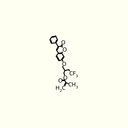 C=C(C)C(=O)OCC(COc1ccc2cc(-c3ccccc3)c(=O)oc2c1)CC(F)(F)F